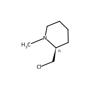 CN1CCCC[C@H]1CCl